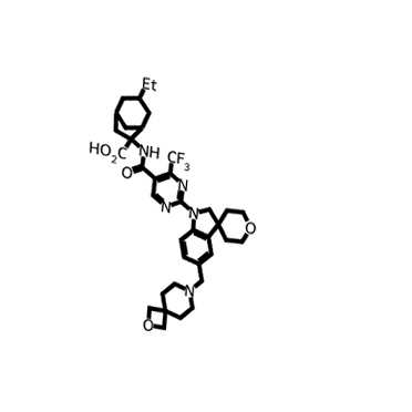 CCC1CC2CC(C1)C(NC(=O)c1cnc(N3CC4(CCOCC4)c4cc(CN5CCC6(CC5)COC6)ccc43)nc1C(F)(F)F)(C(=O)O)C2